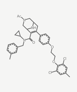 CC(=O)N1CC2CC(c3ccc(OCCOc4c(Cl)cc(C)cc4Cl)cc3)=C(C(=O)N(Cc3cccc(C)c3)C3CC3)C(C1)N2